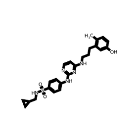 Cc1ccc(O)cc1CCCNc1ccnc(Nc2ccc(S(=O)(=O)NCC3CC3)cc2)n1